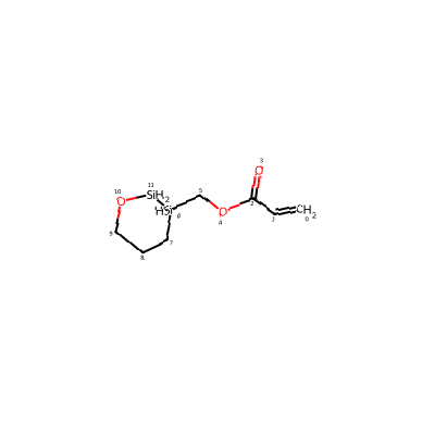 C=CC(=O)OC[SiH]1CCCO[SiH2]1